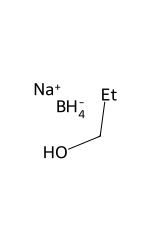 CCCO.[BH4-].[Na+]